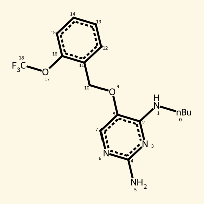 CCCCNc1nc(N)ncc1OCc1ccccc1OC(F)(F)F